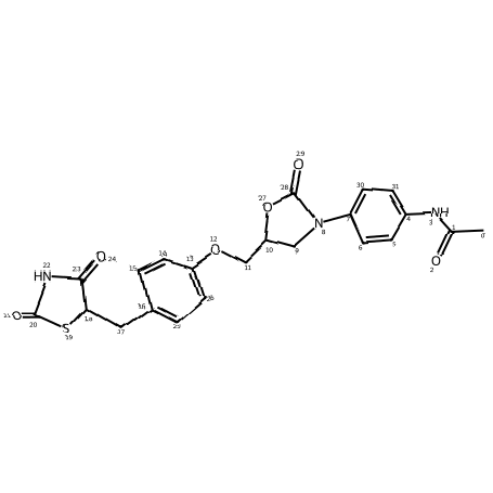 CC(=O)Nc1ccc(N2CC(COc3ccc(CC4SC(=O)NC4=O)cc3)OC2=O)cc1